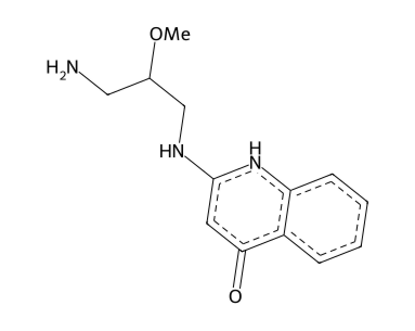 COC(CN)CNc1cc(=O)c2ccccc2[nH]1